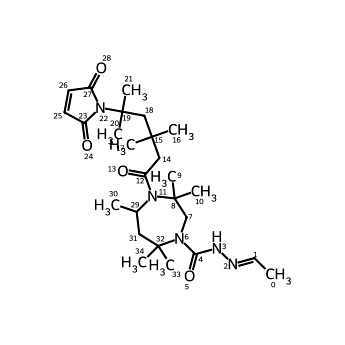 C/C=N/NC(=O)N1CC(C)(C)N(C(=O)CC(C)(C)CC(C)(C)N2C(=O)C=CC2=O)C(C)CC1(C)C